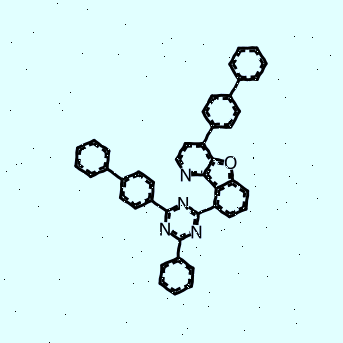 c1ccc(-c2ccc(-c3nc(-c4ccccc4)nc(-c4cccc5oc6c(-c7ccc(-c8ccccc8)cc7)ccnc6c45)n3)cc2)cc1